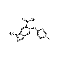 Cn1ncc2cc(Oc3ccc(F)cc3)c(C(=O)O)cc21